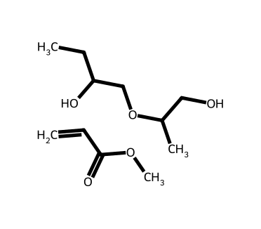 C=CC(=O)OC.CCC(O)COC(C)CO